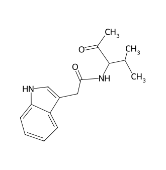 CC(=O)C(NC(=O)Cc1c[nH]c2ccccc12)C(C)C